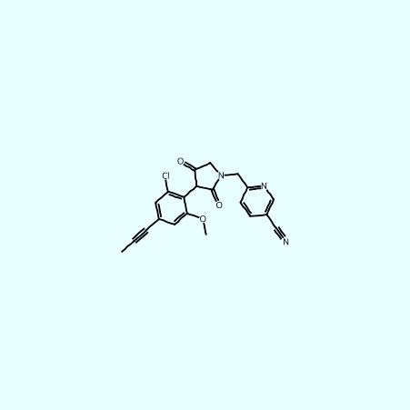 CC#Cc1cc(Cl)c(C2C(=O)CN(Cc3ccc(C#N)cn3)C2=O)c(OC)c1